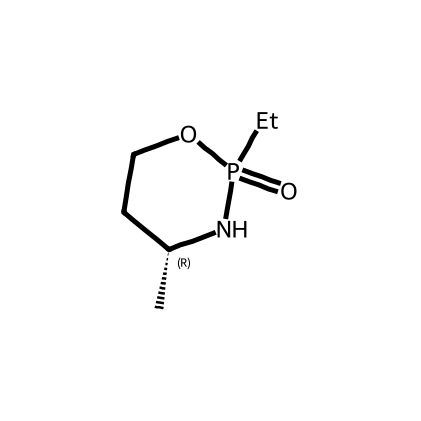 CCP1(=O)N[C@H](C)CCO1